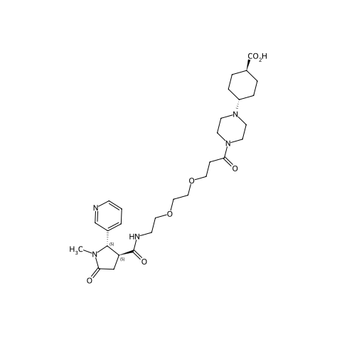 CN1C(=O)C[C@H](C(=O)NCCOCCOCCC(=O)N2CCN([C@H]3CC[C@H](C(=O)O)CC3)CC2)[C@H]1c1cccnc1